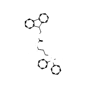 CC(C)(C)[Si](OCC[C@H](NC(=O)OCC1c2ccccc2-c2ccccc21)C(=O)O)(c1ccccc1)c1ccccc1